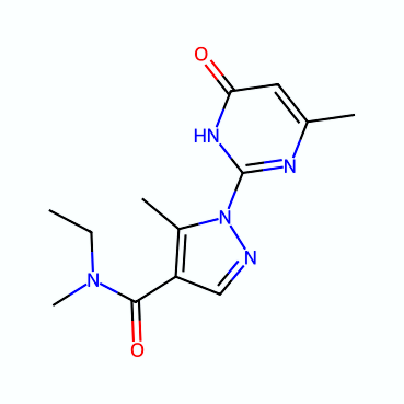 CCN(C)C(=O)c1cnn(-c2nc(C)cc(=O)[nH]2)c1C